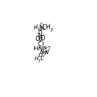 CC1C=NC2=CC=CC3=NC(Nc4ccc(S(=O)(=O)N5CC[C@@H](N(C)C)C5)cc4)=NCC23CC1=O